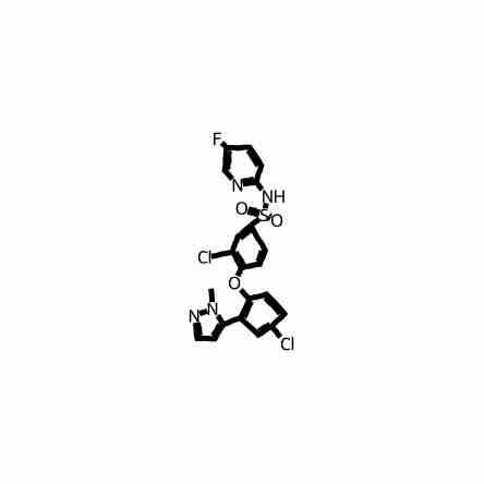 Cn1nccc1-c1cc(Cl)ccc1Oc1ccc(S(=O)(=O)Nc2ccc(F)cn2)cc1Cl